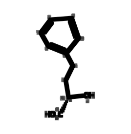 O=C(O)[C@@H](O)CCc1ccccc1